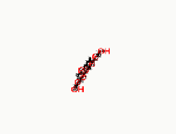 CCCCCCOCCC.OCCOCCOCCOCCOCCOCCO